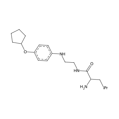 CC(C)CC(N)C(=O)NCCNc1ccc(OC2CCCC2)cc1